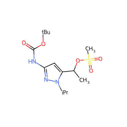 CC(OS(C)(=O)=O)c1cc(NC(=O)OC(C)(C)C)nn1C(C)C